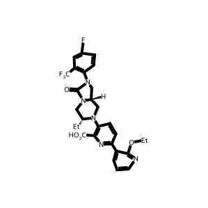 CCOc1ncccc1-c1ccc(N2C[C@H]3CN(c4ccc(F)cc4C(F)(F)F)C(=O)N3C[C@H]2CC)c(C(=O)O)n1